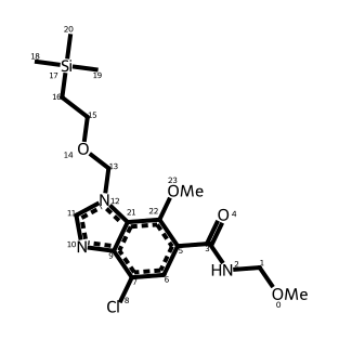 COCNC(=O)c1cc(Cl)c2ncn(COCC[Si](C)(C)C)c2c1OC